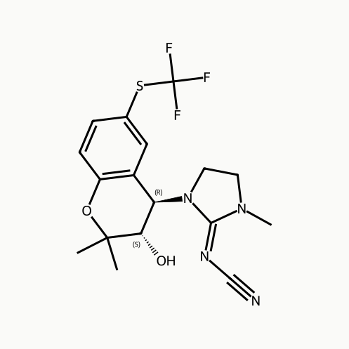 CN1CCN([C@@H]2c3cc(SC(F)(F)F)ccc3OC(C)(C)[C@H]2O)C1=NC#N